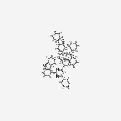 c1ccc(-c2nc(-c3ccccc3)nc(-c3cccc4oc5ccc(-c6ccc7c(c6)c6ccccc6n7-c6ccccc6-c6cccc7c6oc6ccccc67)cc5c34)n2)cc1